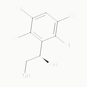 NC[C@H](O)c1c(Cl)c(Cl)cc(Cl)c1Cl